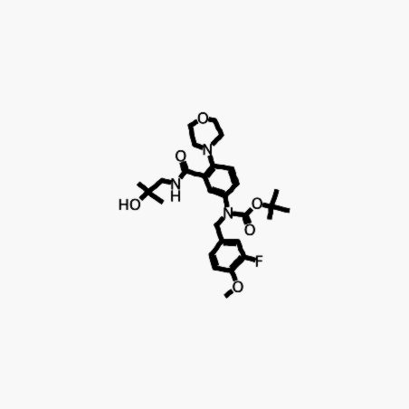 COc1ccc(CN(C(=O)OC(C)(C)C)c2ccc(N3CCOCC3)c(C(=O)NCC(C)(C)O)c2)cc1F